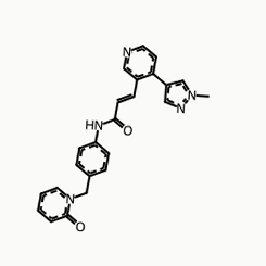 Cn1cc(-c2ccncc2/C=C/C(=O)Nc2ccc(Cn3ccccc3=O)cc2)cn1